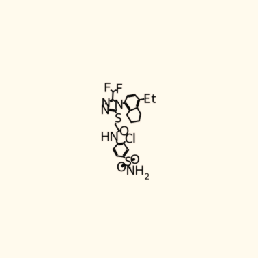 CCc1ccc(-n2c(SCC(=O)Nc3ccc(S(N)(=O)=O)cc3Cl)nnc2C(F)F)c2c1CCCC2